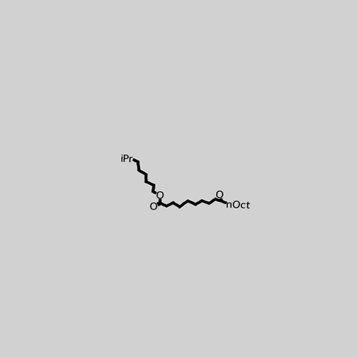 CCCCCCCCC1OC1CCCCCCCC(=O)OCCCCCCC(C)C